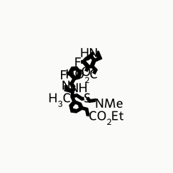 CCOC(=O)CCc1cccc(C(C)(CCSCCNC)c2cnc(-c3cc(Oc4c(F)cc5[nH]ccc5c4CC(=O)O)ccc3F)[nH]2)c1